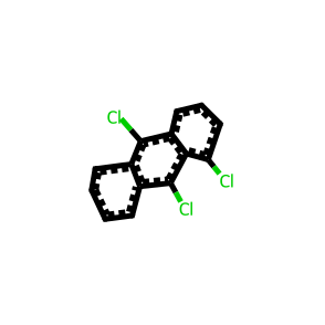 Clc1c2ccccc2c(Cl)c2c(Cl)cccc12